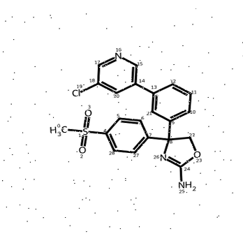 CS(=O)(=O)c1ccc(C2(c3cccc(-c4cncc(Cl)c4)c3)COC(N)=N2)cc1